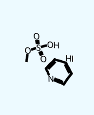 COS(=O)(=O)O.I.c1ccncc1